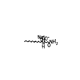 CCCCCCCCCCCC(=O)NC(CCC(N)=O)C(=O)[O-].[Na+]